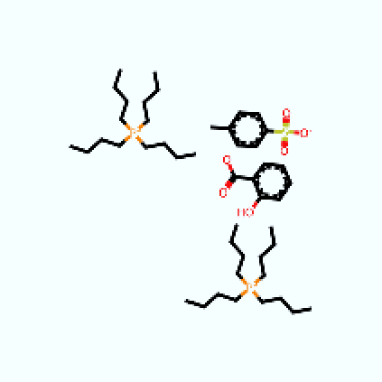 CCCC[P+](CCCC)(CCCC)CCCC.CCCC[P+](CCCC)(CCCC)CCCC.Cc1ccc(S(=O)(=O)[O-])cc1.O=C([O-])c1ccccc1O